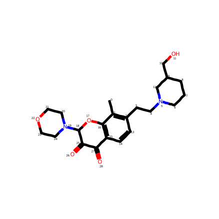 Cc1c(CCN2CCCC(CO)C2)ccc2c1OC(N1CCOCC1)C(=O)C2=O